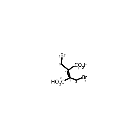 O=C(O)C(CBr)=C(CBr)C(=O)O